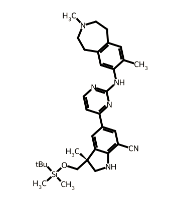 Cc1cc2c(cc1Nc1nccc(-c3cc(C#N)c4c(c3)[C@@](C)(CO[Si](C)(C)C(C)(C)C)CN4)n1)CCN(C)CC2